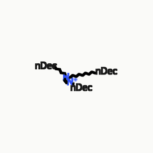 CCCCCCCCCCCCCCCCCCc1n(CCCCCCCCCCCCCC)cc[n+]1CCCCCCCCCCC